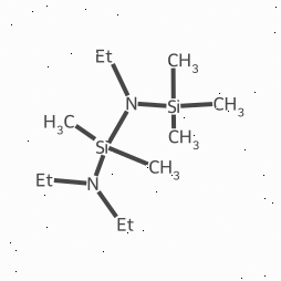 CCN(CC)[Si](C)(C)N(CC)[Si](C)(C)C